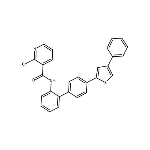 O=C(Nc1ccccc1-c1ccc(-c2cc(-c3ccccc3)cs2)cc1)c1cccnc1Cl